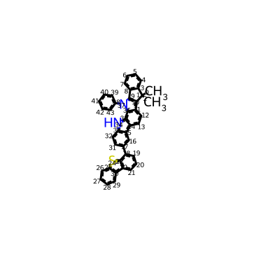 CC1(C)c2ccccc2-c2c1c1ccc3c4cc(-c5cccc6c5sc5ccccc56)ccc4[nH]c3c1n2-c1ccccc1